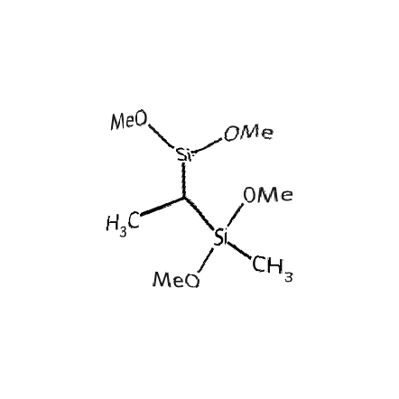 CO[Si](OC)C(C)[Si](C)(OC)OC